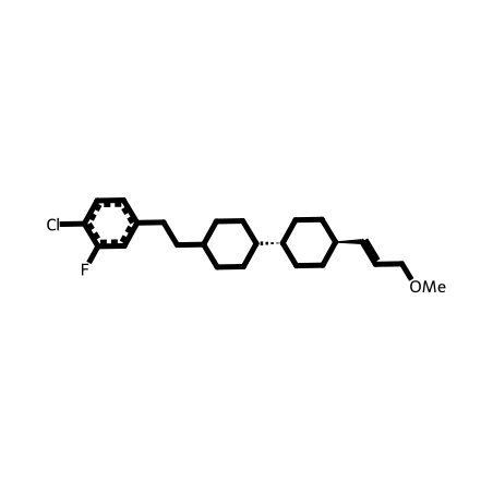 COC/C=C/[C@H]1CC[C@H](C2CCC(CCc3ccc(Cl)c(F)c3)CC2)CC1